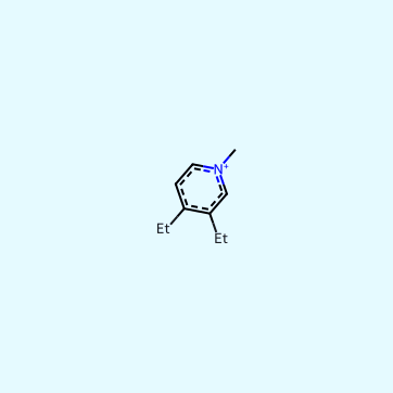 CCc1cc[n+](C)cc1CC